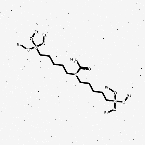 CCO[Si](CCCCCN(CCCCC[Si](OCC)(OCC)OCC)C(N)=O)(OCC)OCC